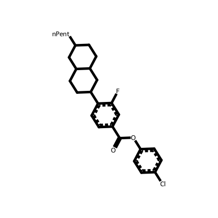 CCCCCC1CCC2CC(c3ccc(C(=O)Oc4ccc(Cl)cc4)cc3F)CCC2C1